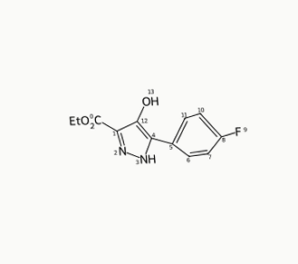 CCOC(=O)c1n[nH]c(-c2ccc(F)cc2)c1O